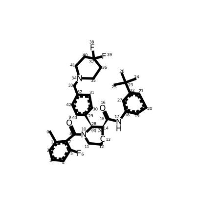 Cc1cccc(F)c1C(=O)N1CCC[C@H](C(=O)Nc2cccc(C(C)(C)C)c2)[C@@H]1c1ccc(CN2CCC(F)(F)CC2)cc1